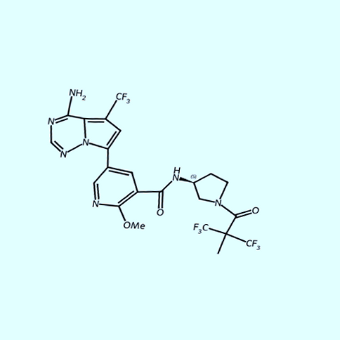 COc1ncc(-c2cc(C(F)(F)F)c3c(N)ncnn23)cc1C(=O)N[C@H]1CCN(C(=O)C(C)(C(F)(F)F)C(F)(F)F)C1